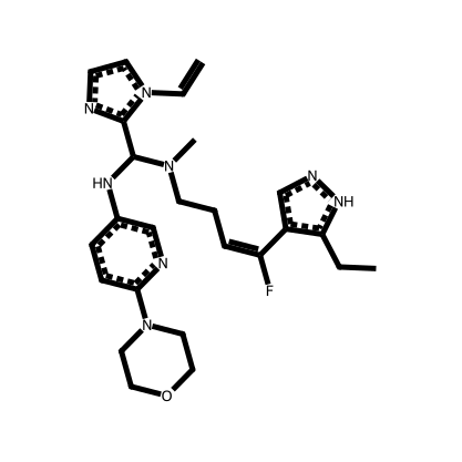 C=Cn1ccnc1C(Nc1ccc(N2CCOCC2)nc1)N(C)CC/C=C(/F)c1cn[nH]c1CC